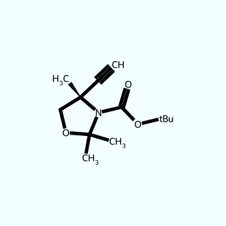 C#C[C@@]1(C)COC(C)(C)N1C(=O)OC(C)(C)C